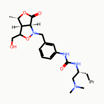 CC(C)C[C@H](CN(C)C)NC(=O)Nc1cccc(CN2OC(CO)[C@H]3[C@H](C)OC(=O)[C@H]32)c1